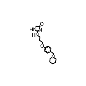 O=C1CNC(NCCCOc2ccc(CN3CCCCC3)cc2)=N1